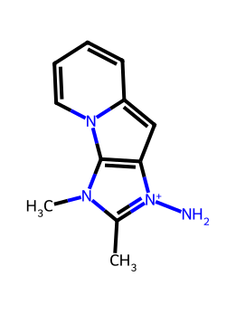 Cc1n(C)c2c(cc3ccccn32)[n+]1N